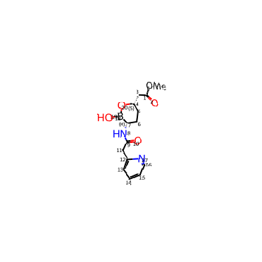 COC(=O)C[C@@H]1CC[C@H](NC(=O)Cc2ccccn2)B(O)O1